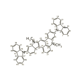 CN1c2cc(-n3c4ccccc4c4ccccc43)ccc2-c2cc3c(c4cccc1c24)C1C=CC(n2c4ccccc4c4ccccc42)=CC1N3C